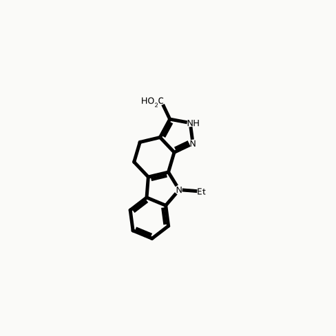 CCn1c2c(c3ccccc31)CCc1c-2n[nH]c1C(=O)O